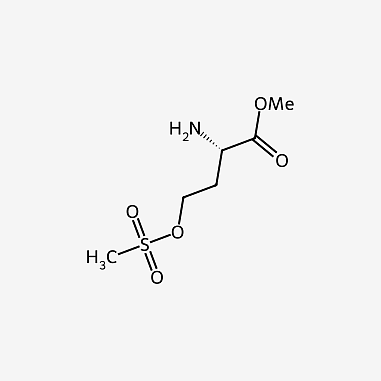 COC(=O)[C@@H](N)CCOS(C)(=O)=O